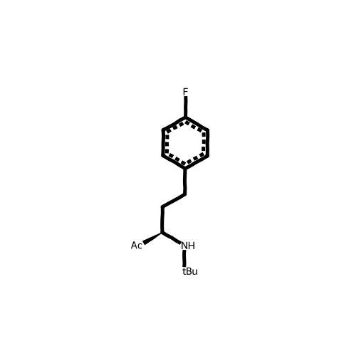 CC(=O)[C@@H](CCc1ccc(F)cc1)NC(C)(C)C